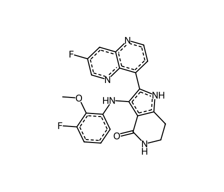 COc1c(F)cccc1Nc1c(-c2ccnc3cc(F)cnc23)[nH]c2c1C(=O)NCC2